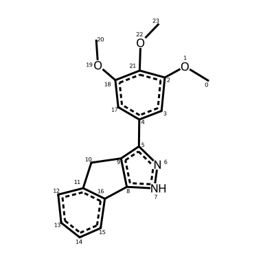 COc1cc(-c2n[nH]c3c2Cc2ccccc2-3)cc(OC)c1OC